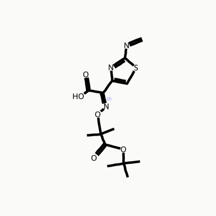 C=Nc1nc(/C(=N/OC(C)(C)C(=O)OC(C)(C)C)C(=O)O)cs1